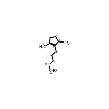 C=C1CCC(C)=C1SCCOC=O